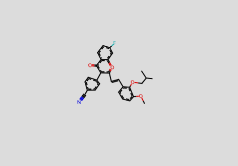 COc1cccc(C=Cc2oc3cc(F)ccc3c(=O)c2-c2ccc(C#N)cc2)c1OCC(C)C